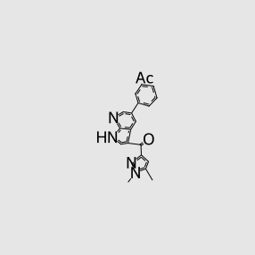 CC(=O)c1cccc(-c2cnc3[nH]cc(C(=O)c4cc(C)n(C)n4)c3c2)c1